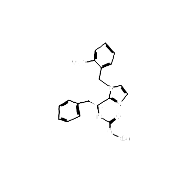 COc1ccccc1Cn1ccnc1[C@H](Cc1ccccc1)NC(=O)OC(C)(C)C